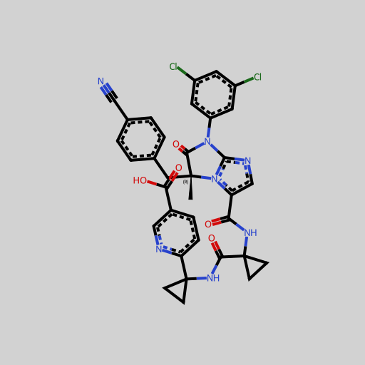 C[C@@]1(Cc2ccc(C#N)cc2)C(=O)N(c2cc(Cl)cc(Cl)c2)c2ncc(C(=O)NC3(C(=O)NC4(c5ccc(C(=O)O)cn5)CC4)CC3)n21